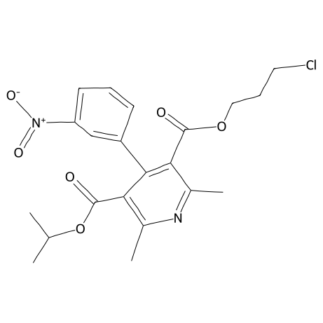 Cc1nc(C)c(C(=O)OC(C)C)c(-c2cccc([N+](=O)[O-])c2)c1C(=O)OCCCCl